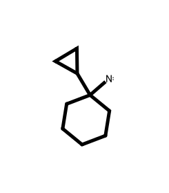 [N]C1(C2CC2)CCCCC1